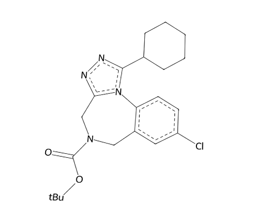 CC(C)(C)OC(=O)N1Cc2cc(Cl)ccc2-n2c(nnc2C2CCCCC2)C1